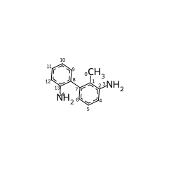 Cc1c(N)cccc1-c1ccccc1N